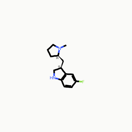 CN1CCC[C@@H]1C[C@@H]1CNc2ccc(F)cc21